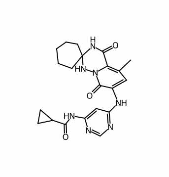 Cc1cc(Nc2cc(NC(=O)C3CC3)ncn2)c(=O)n2c1C(=O)NC1(CCCCC1)N2